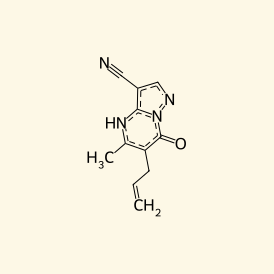 C=CCc1c(C)[nH]c2c(C#N)cnn2c1=O